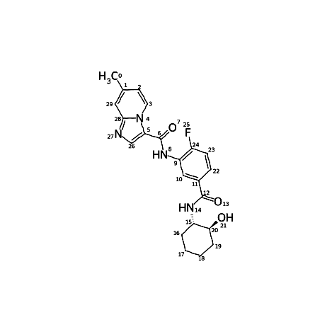 Cc1ccn2c(C(=O)Nc3cc(C(=O)N[C@H]4CCCC[C@@H]4O)ccc3F)cnc2c1